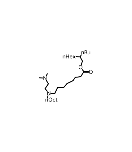 CCCCCCCCN(CCCCCCCC(=O)OCC(CCCC)CCCCCC)CCN(C)C